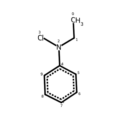 CCN(Cl)c1cc[c]cc1